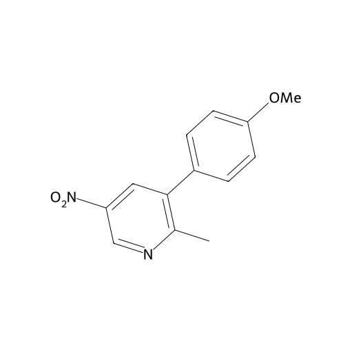 COc1ccc(-c2cc([N+](=O)[O-])cnc2C)cc1